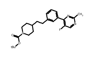 Cc1ncc(F)c(-c2cccc(CCC3CCN(C(=O)OC(C)(C)C)CC3)c2)n1